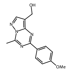 COc1ccc(-c2nc(C)n3ncc(CO)c3n2)cc1